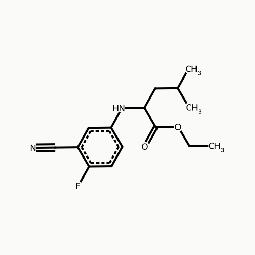 CCOC(=O)C(CC(C)C)Nc1ccc(F)c(C#N)c1